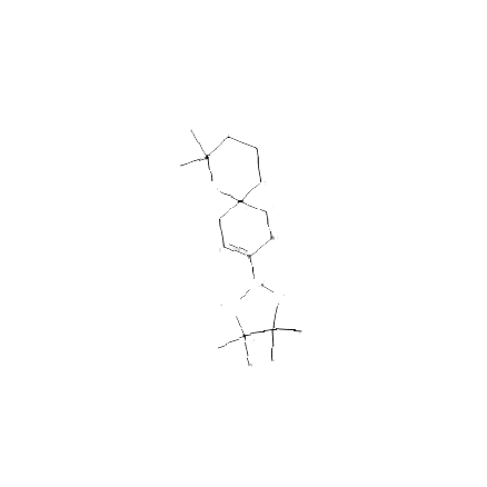 CC1(C)CCCC2(CC=C(B3OC(C)(C)C(C)(C)O3)CC2)O1